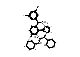 COC(c1cc(F)cc(F)c1)c1ccc(F)c(F)c1-c1nccn1C(C(=O)NC1CCCCC1)C1CCCCC1